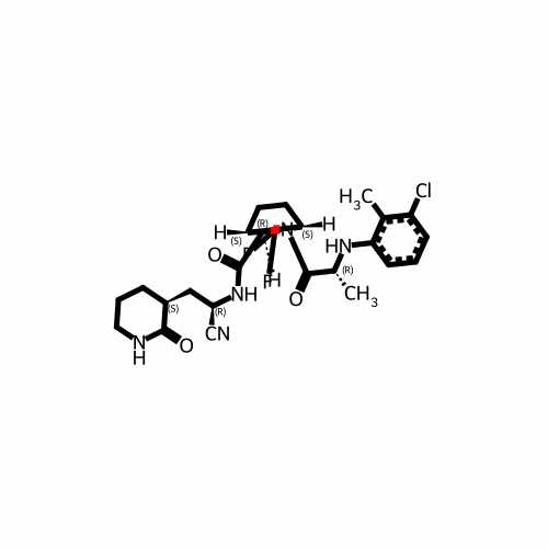 Cc1c(Cl)cccc1N[C@H](C)C(=O)N1[C@H]2CC[C@@H]([C@@H]1C(=O)N[C@@H](C#N)C[C@@H]1CCCNC1=O)C(F)(F)C2